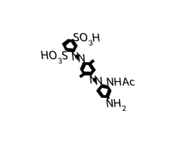 CC(=O)Nc1cc(N)ccc1N=Nc1cc(C)c(N=Nc2cc(S(=O)(=O)O)ccc2S(=O)(=O)O)cc1C